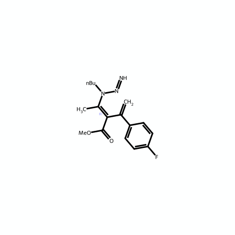 C=C(/C(C(=O)OC)=C(/C)N(CCCC)N=N)c1ccc(F)cc1